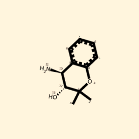 CC1(C)Oc2ccccc2[C@H](N)[C@H]1O